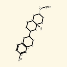 CCCCCCO[C@@H]1CC[C@@H]2CC(C3CCc4cc(CCC)ccc4C3)CCC2C1